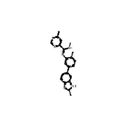 CN/C(=N\c1cc(-c2ccc3nc(C)[nH]c3c2)ccc1C)c1cc(C)ncn1